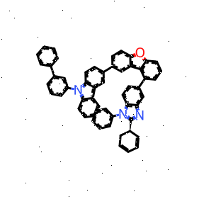 C1=CC[C@@H](c2nc3cc(-c4cccc5oc6ccc(-c7ccc8c(c7)c7ccccc7n8-c7cccc(-c8ccccc8)c7)cc6c45)ccc3n2-c2ccccc2)C=C1